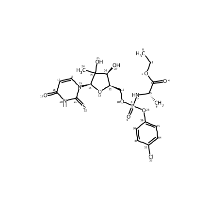 CCOC(=O)[C@H](C)NP(=O)(OC[C@H]1O[C@@H](n2ccc(=O)[nH]c2=S)C(C)(O)[C@H]1O)Oc1ccc(Cl)cc1